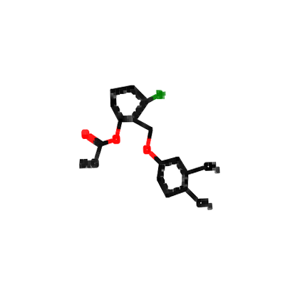 COC(=O)Oc1cccc(Br)c1COc1ccc(C)c(C)c1